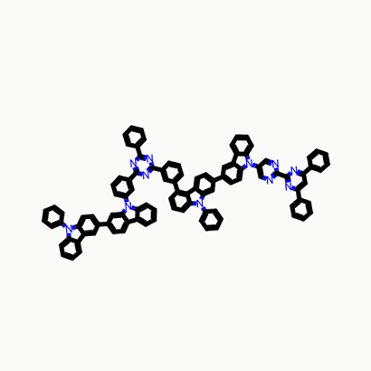 c1ccc(-c2cc(-c3ccccc3)nc(-c3ncc(-n4c5ccccc5c5cc(-c6ccc7c8c(-c9cccc(-c%10nc(-c%11ccccc%11)nc(-c%11cccc(-n%12c%13ccccc%13c%13ccc(-c%14ccc%15c(c%14)c%14ccccc%14n%15-c%14ccccc%14)cc%13%12)c%11)n%10)c9)cccc8n(-c8ccccc8)c7c6)ccc54)cn3)n2)cc1